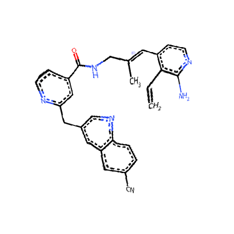 C=Cc1c(/C=C(\C)CNC(=O)c2ccnc(Cc3cnc4ccc(C#N)cc4c3)c2)ccnc1N